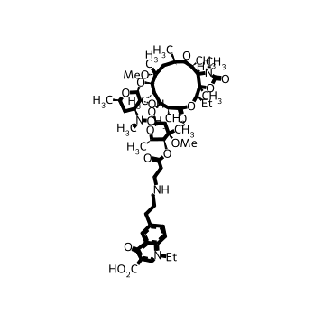 CC[C@H]1OC(=O)[C@H](C)[C@@H](O[C@H]2C[C@@](C)(OC)[C@@H](OC(=O)CCNCCCc3ccc4c(c3)c(=O)c(C(=O)O)cn4CC)[C@H](C)O2)[C@H](C)[C@@H](O[C@@H]2O[C@H](C)C[C@H](N(C)C)[C@H]2O)[C@](C)(OC)C[C@@H](C)C(=O)[C@H](C)[C@H]2N(C)C(=O)O[C@]12C